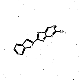 Nc1nc2nc(-c3cc4ccccc4o3)nc-2c[nH]1